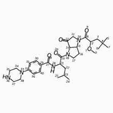 COC(CC(C)(C)C)C(=O)N1CC(=O)C2C1CCN2C(=O)C(CC(C)C)NC(=O)c1ccc(N2CCNCC2)cc1